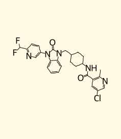 Cc1ncc(Cl)cc1C(=O)NC1CCC(Cn2c(=O)n(-c3ccc(C(F)F)nc3)c3ccccc32)CC1